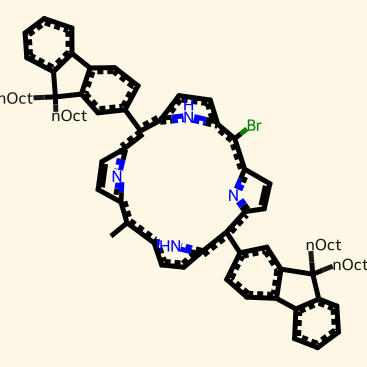 CCCCCCCCC1(CCCCCCCC)c2ccccc2-c2ccc(-c3c4nc(c(Br)c5ccc([nH]5)c(-c5ccc6c(c5)C(CCCCCCCC)(CCCCCCCC)c5ccccc5-6)c5nc(c(C)c6ccc3[nH]6)C=C5)C=C4)cc21